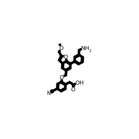 COCc1cc2cc(COc3cc(C#N)ccc3CC(=O)O)cc(-c3cccc(CN)c3)c2o1